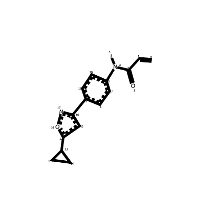 C=CC(=O)N(I)c1ccc(-c2cc(C3CC3)on2)cc1